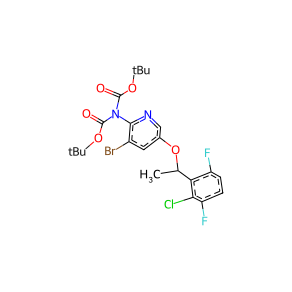 CC(Oc1cnc(N(C(=O)OC(C)(C)C)C(=O)OC(C)(C)C)c(Br)c1)c1c(F)ccc(F)c1Cl